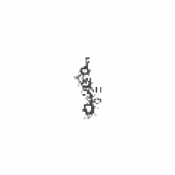 CN(c1ccc(F)cc1)c1ncc(NC(=O)COC(=O)c2ccccc2)cn1